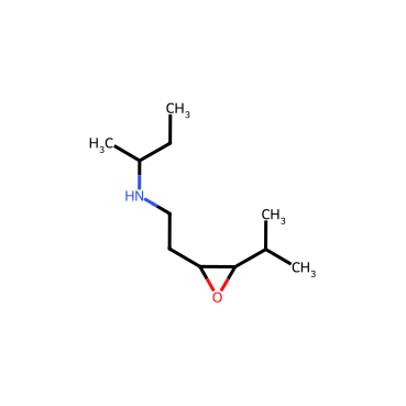 CCC(C)NCCC1OC1C(C)C